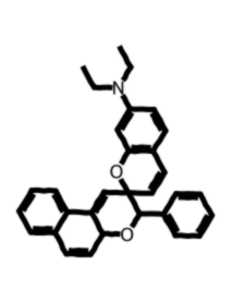 CCN(CC)c1ccc2c(c1)OC1(C=C2)C=C2c3ccccc3C=CC2OC1c1ccccc1